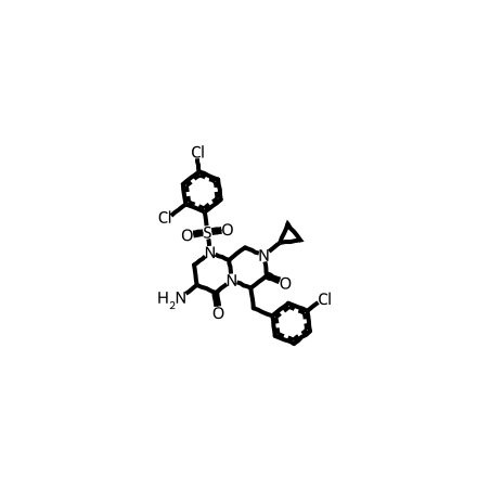 NC1CN(S(=O)(=O)c2ccc(Cl)cc2Cl)C2CN(C3CC3)C(=O)C(Cc3cccc(Cl)c3)N2C1=O